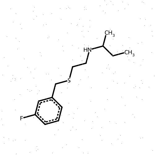 CCC(C)NCCSCc1cccc(F)c1